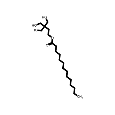 CCCCCCCCCCCCCC(=O)OCCC(CO)(CO)CO